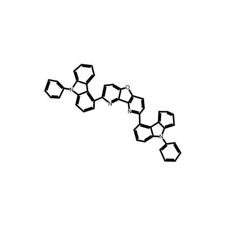 c1ccc(-n2c3ccccc3c3c(-c4ccc5oc6ccc(-c7cccc8c7c7ccccc7n8-c7ccccc7)nc6c5n4)cccc32)cc1